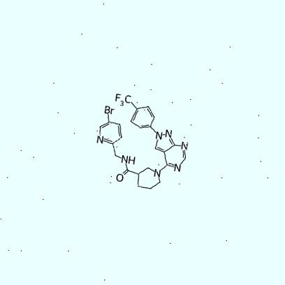 O=C(NCc1ccc(Br)cn1)C1CCCN(c2ncnc3nn(-c4ccc(C(F)(F)F)cc4)cc23)C1